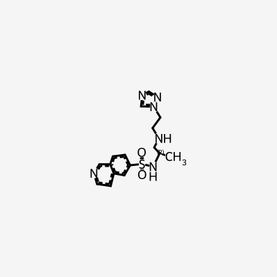 C[C@H](CNCCn1cncn1)NS(=O)(=O)c1ccc2cnccc2c1